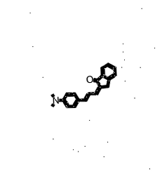 CN(C)c1ccc(C=CC=C2Cc3ccccc3C2=O)cc1